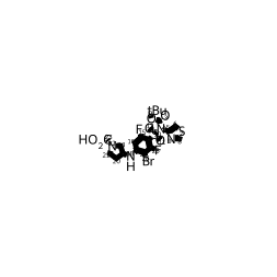 CC(C)(C)OC(=O)N(c1cscn1)S(=O)(=O)c1c(F)cc(NC2CCN(C(=O)O)C2)c(Br)c1F